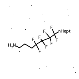 CCCCCCCC(F)(F)C(F)(F)C(F)(F)C(F)(F)CCCN